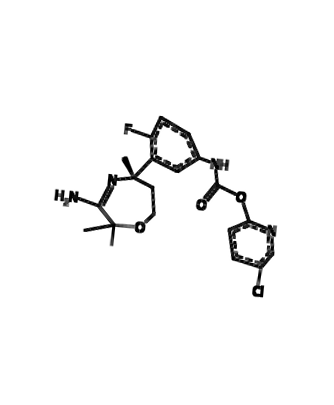 CC1(C)OCC[C@@](C)(c2cc(NC(=O)Oc3ccc(Cl)cn3)ccc2F)N=C1N